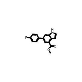 COC(=O)c1cc(-c2ccc(F)cc2)cc2[nH]ccc12